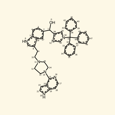 OC(c1ccc2[nH]cc(CCN3CCN(c4nccc5[nH]ccc45)CC3)c2c1)c1cn(C(c2ccccc2)(c2ccccc2)c2ccccc2)cn1